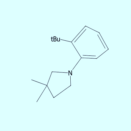 CC1(C)CCN(c2ccccc2C(C)(C)C)C1